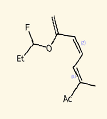 C=C(/C=C\C=C(/C)C(C)=O)OC(F)CC